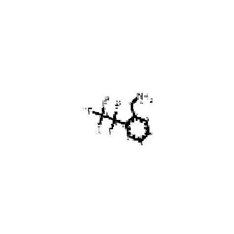 NCc1ccccc1C(F)(F)C(F)(F)F